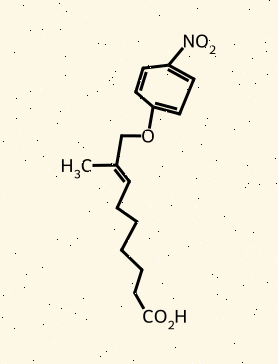 CC(=CCCCCCC(=O)O)COc1ccc([N+](=O)[O-])cc1